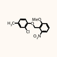 COc1cccc([N+](=O)[O-])c1COc1ccc(C)cc1Cl